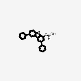 OBOc1cc(-c2ccccc2)cc2c1sc1ccc(-c3ccccc3)cc12